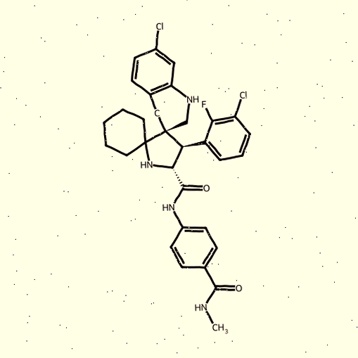 CNC(=O)c1ccc(NC(=O)[C@@H]2NC3(CCCCC3)[C@@]3(CNc4cc(Cl)ccc4C3)[C@H]2c2cccc(Cl)c2F)cc1